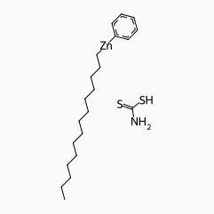 CCCCCCCCCCCCC[CH2][Zn][c]1ccccc1.NC(=S)S